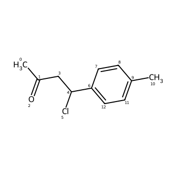 CC(=O)CC(Cl)c1ccc(C)cc1